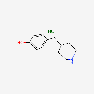 Cl.Oc1ccc(CC2CCNCC2)cc1